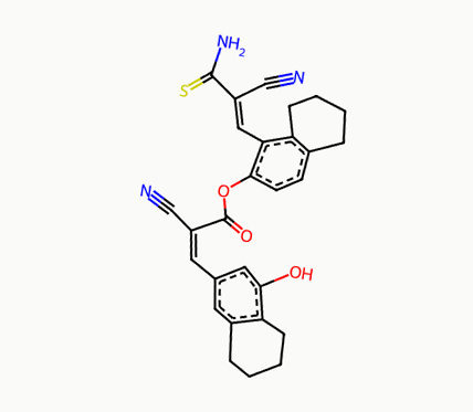 N#CC(=Cc1cc(O)c2c(c1)CCCC2)C(=O)Oc1ccc2c(c1C=C(C#N)C(N)=S)CCCC2